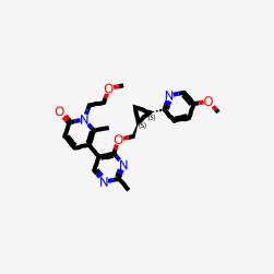 COCCn1c(C)c(-c2cnc(C)nc2OC[C@H]2C[C@@H]2c2ccc(OC)cn2)ccc1=O